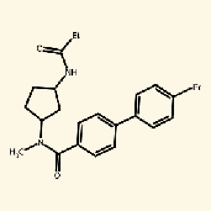 CCC(=O)NC1CCC(N(C)C(=O)c2ccc(-c3ccc(C(C)C)cc3)cc2)C1